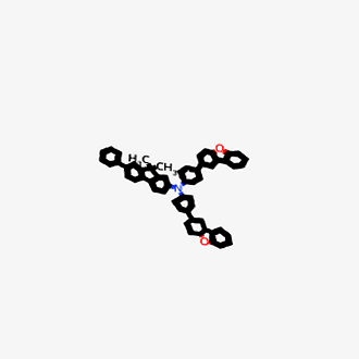 CC1(C)c2cc(-c3ccccc3)ccc2-c2ccc(N(c3ccc(C4=CC5c6ccccc6OC5C=C4)cc3)c3ccc(-c4ccc5oc6ccccc6c5c4)cc3)cc21